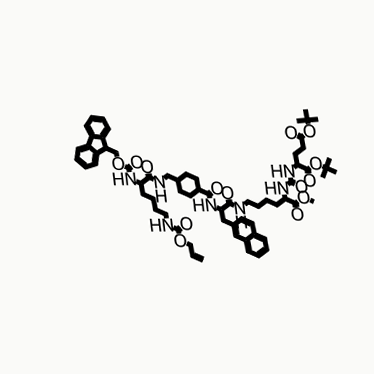 C=CCOC(=O)NCCCCC(NC(=O)OCC1c2ccccc2-c2ccccc21)C(=O)NCC1CCC(C(=O)NC(Cc2ccc3ccccc3c2)C(=O)NCCCCC(NC(=O)NC(CCC(=O)OC(C)(C)C)C(=O)OC(C)(C)C)C(=O)OC)CC1